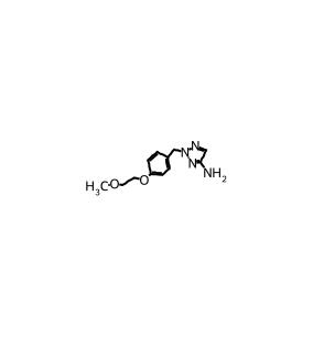 COCCOc1ccc(Cn2ncc(N)n2)cc1